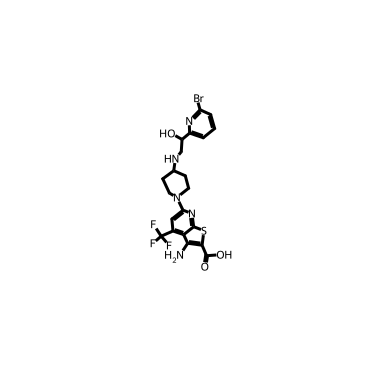 Nc1c(C(=O)O)sc2nc(N3CCC(NCC(O)c4cccc(Br)n4)CC3)cc(C(F)(F)F)c12